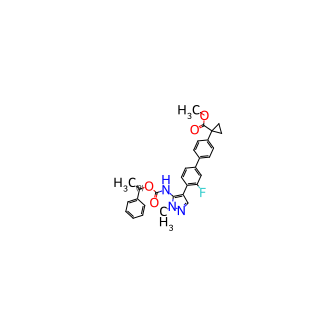 COC(=O)C1(c2ccc(-c3ccc(-c4cnn(C)c4NC(=O)O[C@H](C)c4ccccc4)c(F)c3)cc2)CC1